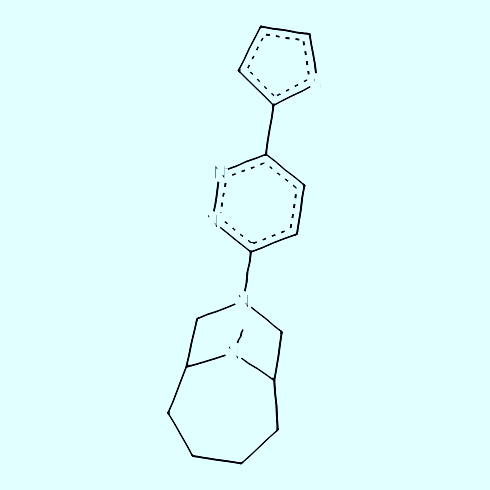 CN1C2CCCCC1CN(c1ccc(-c3cccs3)nn1)C2